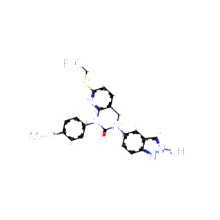 COc1ccc(N2C(=O)N(c3ccc4nn(C)cc4c3)Cc3ccc(SCC(F)(F)F)nc32)cc1